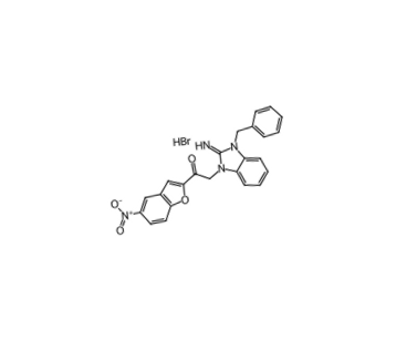 Br.N=c1n(CC(=O)c2cc3cc([N+](=O)[O-])ccc3o2)c2ccccc2n1Cc1ccccc1